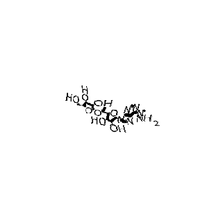 CC(OC1O[C@H](CO)[C@@H](O)[C@H]1O)[C@H]1O[C@@H](n2cnc3c(N(C)N)ncnc32)[C@H](O)[C@@H]1O